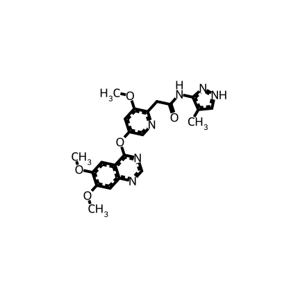 COc1cc2ncnc(Oc3cnc(CC(=O)Nc4n[nH]cc4C)c(OC)c3)c2cc1OC